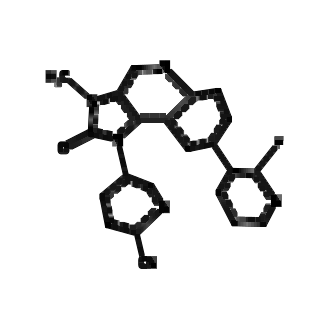 Cn1c(=O)n(-c2ccc(C#N)nc2)c2c3cc(-c4cccnc4F)ccc3ncc21